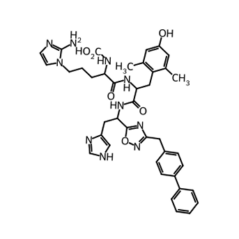 Cc1cc(O)cc(C)c1CC(NC(=O)C(CCCn1ccnc1N)NC(=O)O)C(=O)NC(Cc1c[nH]cn1)c1nc(Cc2ccc(-c3ccccc3)cc2)no1